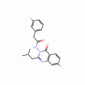 CC(C)Cc1nc2cc(F)ccc2c(=O)n1NC(=O)Cc1cccc(F)c1